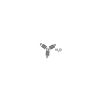 O.[P]#[Fe](#[P])#[P]